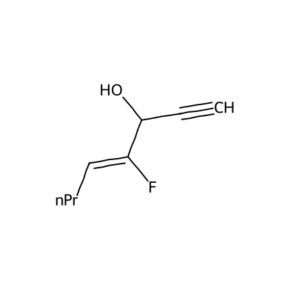 C#CC(O)C(F)=CCCC